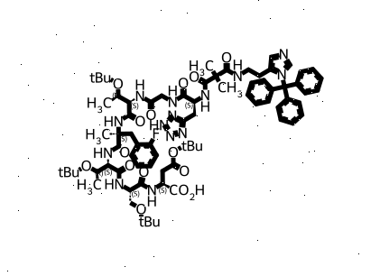 C[C@@H](OC(C)(C)C)[C@H](NC(=O)CNC(=O)[C@H](Cc1nn[nH]n1)NC(=O)C(C)(C)C(=O)NCCc1cncn1C(c1ccccc1)(c1ccccc1)c1ccccc1)C(=O)N[C@@](C)(Cc1ccccc1F)C(=O)N[C@H](C(=O)N[C@@H](COC(C)(C)C)C(=O)N[C@@H](CC(=O)OC(C)(C)C)C(=O)O)[C@@H](C)OC(C)(C)C